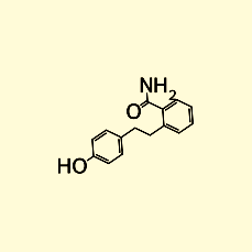 NC(=O)c1ccccc1CCc1ccc(O)cc1